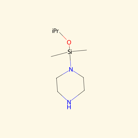 CC(C)O[Si](C)(C)N1CCNCC1